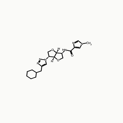 Cn1cnc(C(=O)N[C@H]2CO[C@H]3[C@@H]2OC[C@@H]3n2cc(CC3CCCCC3)nn2)c1